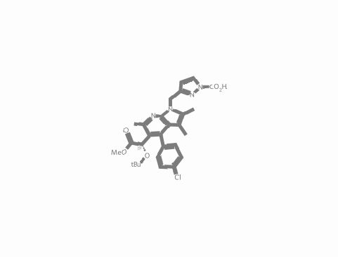 COC(=O)[C@@H](OC(C)(C)C)c1c(C)nc2c(c(C)c(C)n2Cc2ccn(C(=O)O)n2)c1-c1ccc(Cl)cc1